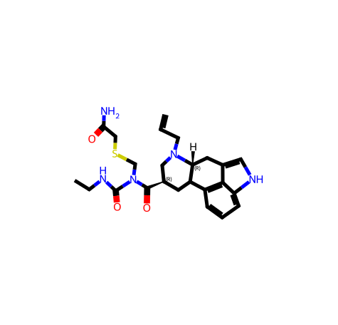 C=CCN1C[C@H](C(=O)N(CSCC(N)=O)C(=O)NCC)CC2c3cccc4[nH]cc(c34)C[C@H]21